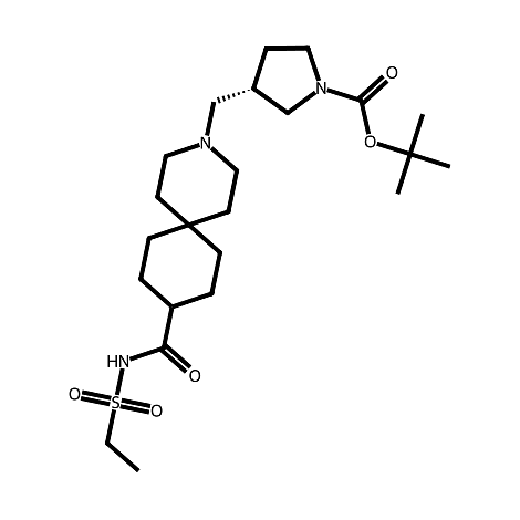 CCS(=O)(=O)NC(=O)C1CCC2(CC1)CCN(C[C@@H]1CCN(C(=O)OC(C)(C)C)C1)CC2